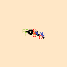 Cc1nnc(CN(C)S(=O)(=O)c2ccc(C(F)(F)F)cc2)o1